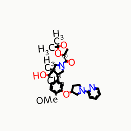 COc1ccc([C@@H]2CN(C(=O)[C@@H]3COC(C)(C)O3)C[C@@]2(C)C(C)O)cc1OC1CCN(c2ccccn2)C1